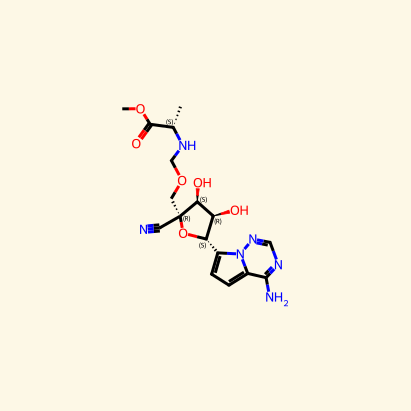 COC(=O)[C@H](C)NCOC[C@@]1(C#N)O[C@@H](c2ccc3c(N)ncnn23)[C@H](O)[C@@H]1O